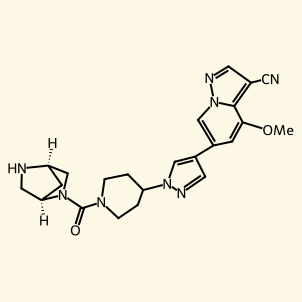 COc1cc(-c2cnn(C3CCN(C(=O)N4C[C@H]5C[C@@H]4CN5)CC3)c2)cn2ncc(C#N)c12